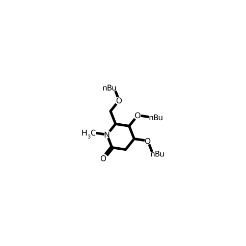 CCCCOCC1C(OCCCC)C(OCCCC)CC(=O)N1C